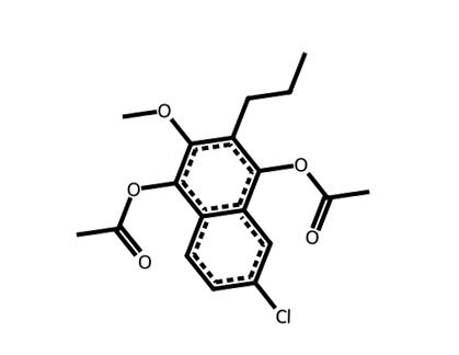 CCCc1c(OC)c(OC(C)=O)c2ccc(Cl)cc2c1OC(C)=O